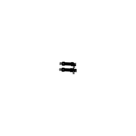 [O]=[Mn].[O]=[Ru]